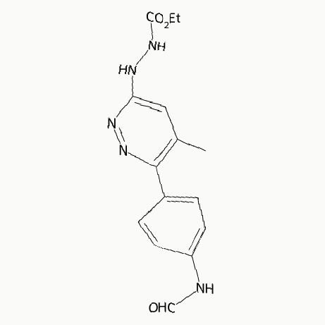 CCOC(=O)NNc1cc(C)c(-c2ccc(NC=O)cc2)nn1